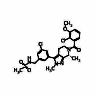 COc1cccc(C(=O)N2CCc3c(nn(C)c3-c3cc(Cl)cc(CNS(C)(=O)=O)c3)[C@H]2C)c1Cl